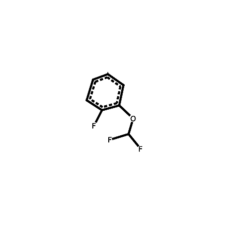 Fc1cc[c]cc1OC(F)F